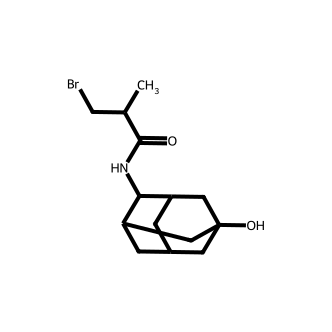 CC(CBr)C(=O)NC1C2CC3CC1CC(O)(C3)C2